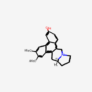 COc1cc2c3c(c4ccc(O)cc4c2cc1OC)CN1CCC[C@H]1C3